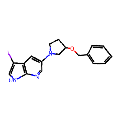 Ic1c[nH]c2ncc(N3CCC(OCc4ccccc4)C3)cc12